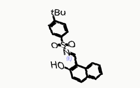 CC(C)(C)c1ccc(S(=O)(=O)/N=C/c2c(O)ccc3ccccc23)cc1